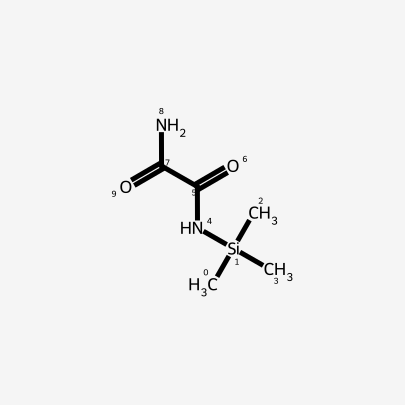 C[Si](C)(C)NC(=O)C(N)=O